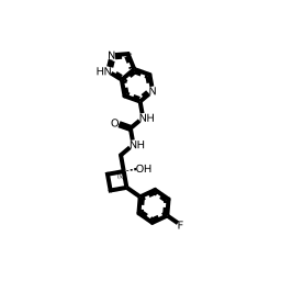 O=C(NC[C@]1(O)CCC1c1ccc(F)cc1)Nc1cc2[nH]n[c]c2cn1